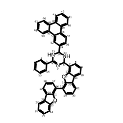 c1ccc(C2=NC(c3cccc4c3oc3c(-c5cccc6c5oc5ccccc56)cccc34)NC(c3ccc4c5ccccc5c5ccccc5c4c3)N2)cc1